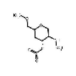 O=[SH](=O)O[C@@H]1CC(COS(=O)(=O)O)OCC1NS(=O)(=O)O